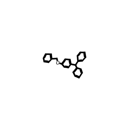 c1ccc(COc2ccc([C](c3ccccc3)c3ccccc3)cc2)cc1